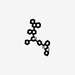 c1ccc(-c2cc(-c3ccc(-c4nc5c6ccccc6sc5c5ccccc45)cc3)nc(-c3ccc(-c4cc5ccccc5c5ccccc45)c4ccccc34)c2)cc1